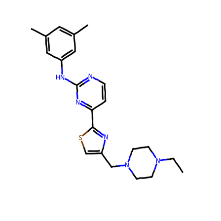 CCN1CCN(Cc2csc(-c3ccnc(Nc4cc(C)cc(C)c4)n3)n2)CC1